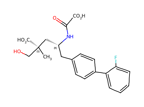 C[C@@](CO)(C[C@@H](Cc1ccc(-c2ccccc2F)cc1)NC(=O)C(=O)O)C(=O)O